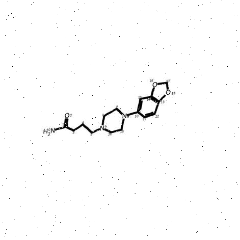 NC(=O)CCCN1CCN(c2ccc3c(c2)OCO3)CC1